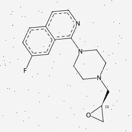 Fc1ccc2ccnc(N3CCN(C[C@H]4CO4)CC3)c2c1